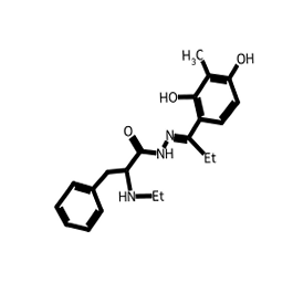 CCNC(Cc1ccccc1)C(=O)N/N=C(\CC)c1ccc(O)c(C)c1O